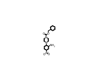 Nc1cc([N+](=O)[O-])ccc1N1C=CN(C(=O)OCc2ccccc2)C=C1